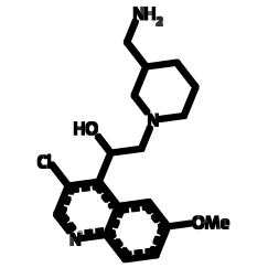 COc1ccc2ncc(Cl)c(C(O)CN3CCCC(CN)C3)c2c1